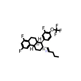 CCC/C=C/[C@@H]1CC[C@H]2c3cc(F)cc(F)c3CC[C@@H]2[C@H]1c1ccc(OC(F)(F)F)c(F)c1